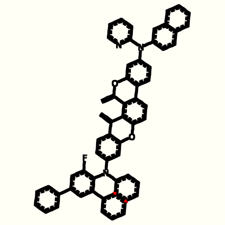 C=C1c2ccc(N(c3ccccc3)c3c(F)cc(-c4ccccc4)cc3-c3ccccc3)cc2Oc2ccc3c(c21)C(=C)Oc1cc(N(c2ccc4ccccc4c2)c2ccccn2)ccc1-3